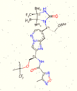 BC1(B)N([C@H](COC)c2cnn3cc([C@H](COC(C)(C)C(F)(F)F)NC(=O)c4nonc4C)nc3c2)C(=O)N[C@]1(B)C(F)(F)F